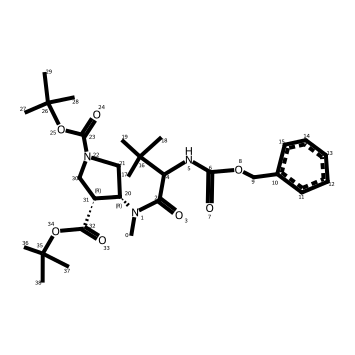 CN(C(=O)C(NC(=O)OCc1ccccc1)C(C)(C)C)[C@H]1CN(C(=O)OC(C)(C)C)C[C@H]1C(=O)OC(C)(C)C